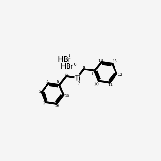 Br.Br.c1ccc([CH2][Ti][CH2]c2ccccc2)cc1